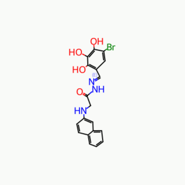 O=C(CNc1ccc2ccccc2c1)N/N=C/c1cc(Br)c(O)c(O)c1O